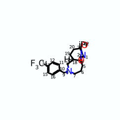 CC(C)[C@H]1COC23CCCN(Cc4ccc(C(F)(F)F)cc4)C[C@H]2CCC(=O)N13